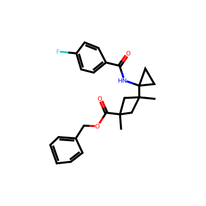 CC1(C(=O)OCc2ccccc2)CC(C)(C2(NC(=O)c3ccc(F)cc3)CC2)C1